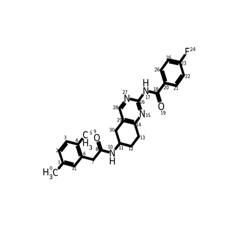 Cc1ccc(C)c(CC(=O)NC2CCc3nc(NC(=O)c4ccc(F)cc4)ncc3C2)c1